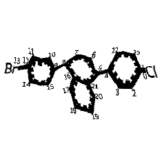 Clc1ccc(-c2ccc(-c3ccc(Br)cc3)c3ccccc23)cc1